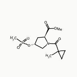 COC(=O)[C@@H]1C[C@@H](OS(C)(=O)=O)CN1C(=O)C1(C)CC1